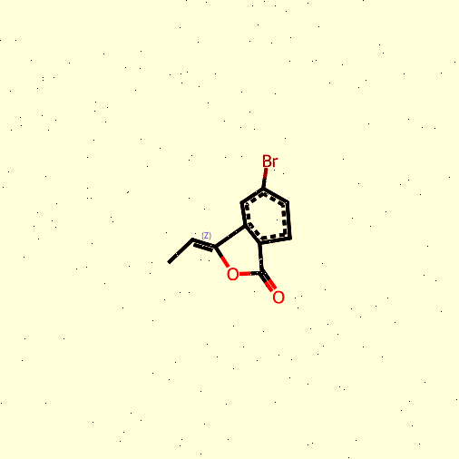 C/C=C1\OC(=O)c2ccc(Br)cc21